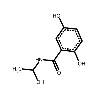 CC(O)NC(=O)c1cc(O)ccc1O